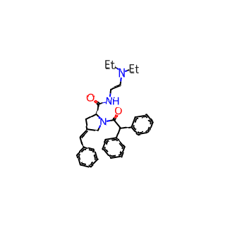 CCN(CC)CCNC(=O)[C@@H]1CC(=Cc2ccccc2)CN1C(=O)C(c1ccccc1)c1ccccc1